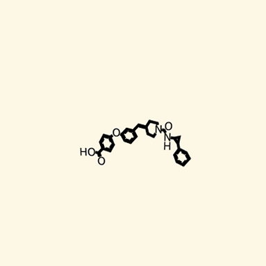 O=C(O)c1ccc(Oc2cccc(C=C3CCN(C(=O)NC4CC4c4ccccc4)CC3)c2)cc1